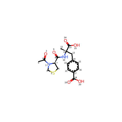 CC(=O)N1CSC[C@@H]1C(=O)N[C@@](C)(Cc1ccc(C(=O)O)cc1)C(=O)O